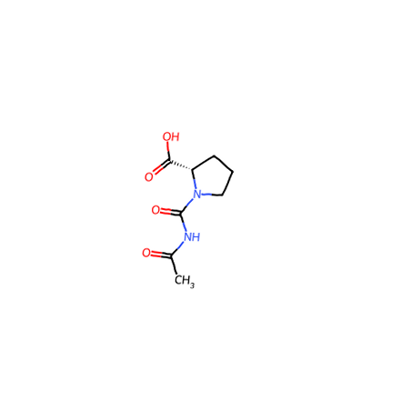 CC(=O)NC(=O)N1CCC[C@H]1C(=O)O